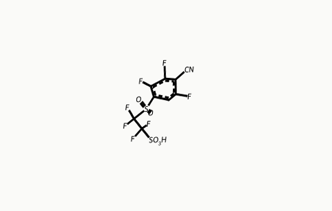 N#Cc1c(F)cc(S(=O)(=O)C(F)(F)C(F)(F)S(=O)(=O)O)c(F)c1F